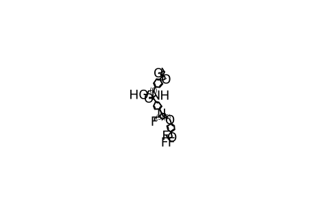 CCS(=O)(=O)c1ccc([C@H](CCO)NC(=O)c2ccc(N3C[C@@H](Oc4ccc(OC(F)(F)F)cc4)C[C@H]3CF)cc2)cc1